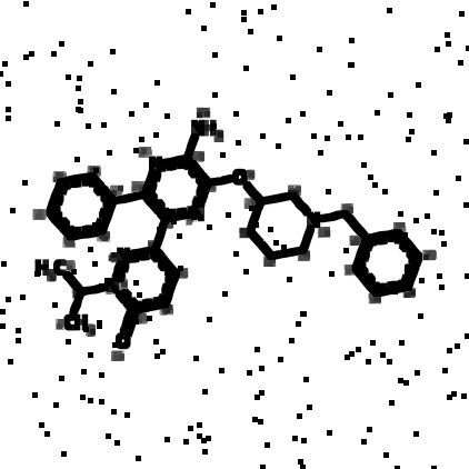 CC(C)n1nc(-c2nc(OC3CCCN(Cc4ccccc4)C3)c(N)nc2-c2ccccc2)ccc1=O